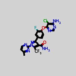 Cc1ccnc(-n2nc(-c3ccc(Oc4ncnc(N)c4Cl)c(F)c3)c(C(N)=O)c2C(F)(F)F)n1